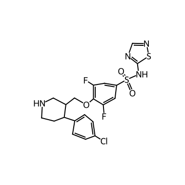 O=S(=O)(Nc1ncns1)c1cc(F)c(OCC2CNCCC2c2ccc(Cl)cc2)c(F)c1